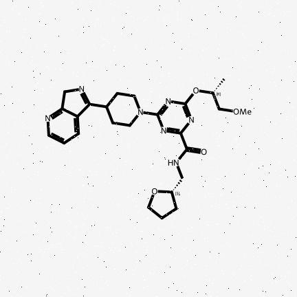 COC[C@@H](C)Oc1nc(C(=O)NC[C@@H]2CCCO2)nc(N2CCC(C3=NCc4ncccc43)CC2)n1